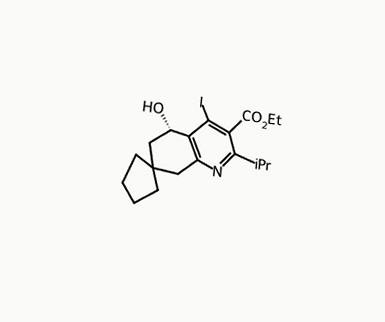 CCOC(=O)c1c(C(C)C)nc2c(c1I)[C@@H](O)CC1(CCCC1)C2